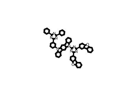 c1ccc(-c2nc(-c3ccccc3)nc(-c3cccc(-n4c5ccccc5c5cc6c(cc54)c4ccccc4n6-c4nc(-c5ccc6oc7ccccc7c6c5)nc(-c5ccc6oc7ccccc7c6c5)n4)c3)n2)cc1